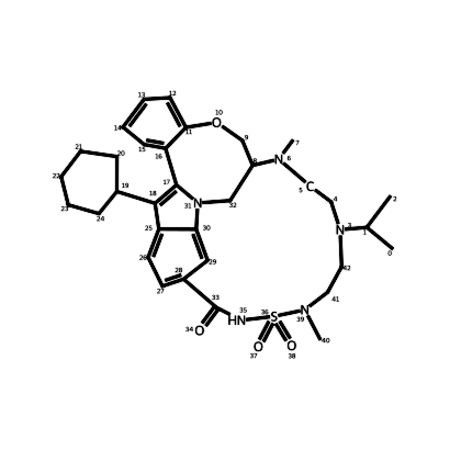 CC(C)N1CCN(C)C2COc3ccccc3-c3c(C4CCCCC4)c4ccc(cc4n3C2)C(=O)NS(=O)(=O)N(C)CC1